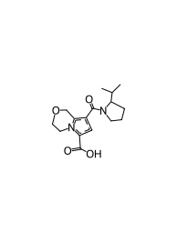 CC(C)C1CCCN1C(=O)c1cc(C(=O)O)n2c1COCC2